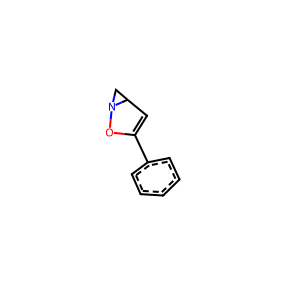 C1=C(c2ccccc2)ON2CC12